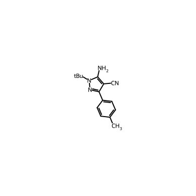 Cc1ccc(-c2nn(C(C)(C)C)c(N)c2C#N)cc1